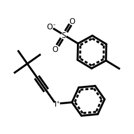 CC(C)(C)C#C[I+]c1ccccc1.Cc1ccc(S(=O)(=O)[O-])cc1